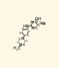 CN1CCN(c2ccc(Nc3ncc(C#N)c(O)n3)cc2)CC1